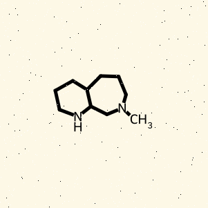 CN1CCCC2CCCNC2C1